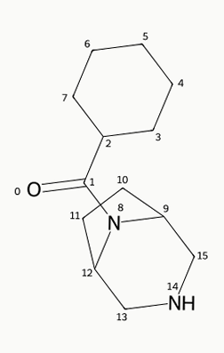 O=C(C1CCCCC1)N1C2CCC1CNC2